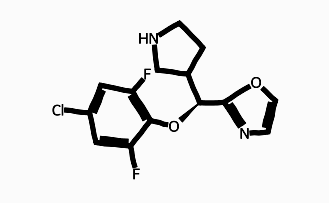 Fc1cc(Cl)cc(F)c1O[C@H](c1ncco1)C1CCNC1